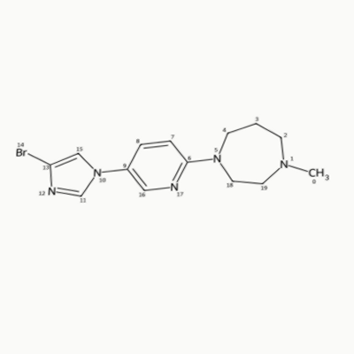 CN1CCCN(c2ccc(-n3cnc(Br)c3)cn2)CC1